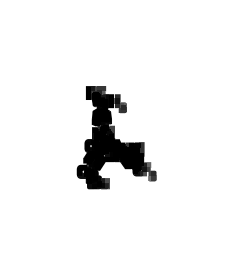 CCc1c(N2CCN(C(=O)OC(C)(C)C)CC2)c(=O)n2nc(N3CCC(N(C)CC(F)F)CC3)nc2n1CC(=O)Nc1ccc(C(F)(F)F)nc1Cl